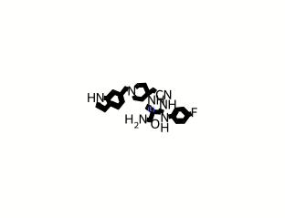 N#CCC1(N/C=C(\C(=N)Nc2ccc(F)cc2)C(N)=O)CCN(Cc2ccc3cc[nH]c3c2)CC1